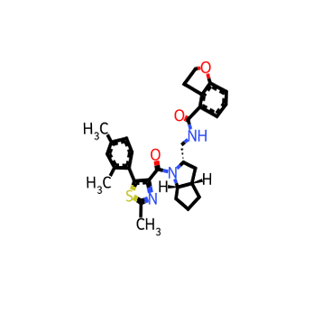 Cc1ccc(-c2sc(C)nc2C(=O)N2[C@H](CNC(=O)c3cccc4c3CCO4)C[C@@H]3CCC[C@@H]32)c(C)c1